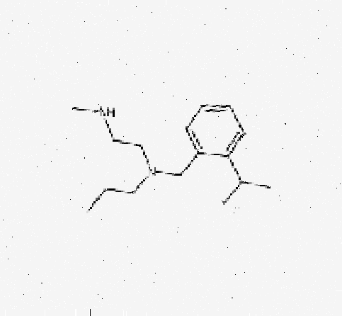 CCCN(CCNC)Cc1ccccc1C(C)C